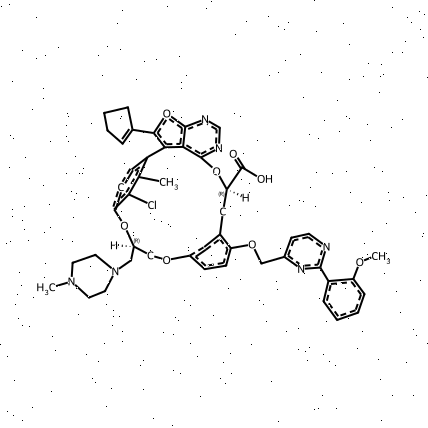 COc1ccccc1-c1nccc(COc2ccc3cc2C[C@H](C(=O)O)Oc2ncnc4oc(C5=CCCC5)c(c24)-c2ccc(c(Cl)c2C)O[C@H](CN2CCN(C)CC2)CO3)n1